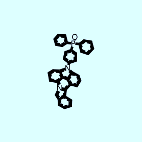 O=P(c1ccccc1)(c1ccccc1)c1ccc(-n2c3cccc4c3c3c2cccc3n2cc3ccccc3c42)cc1